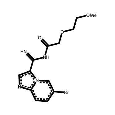 COCCOCC(=O)NC(=N)c1cnc2ccc(Br)cn12